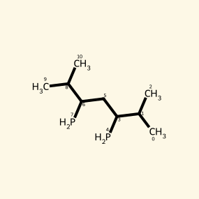 CC(C)C(P)CC(P)C(C)C